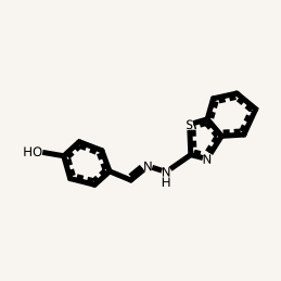 Oc1ccc(C=NNc2nc3ccccc3s2)cc1